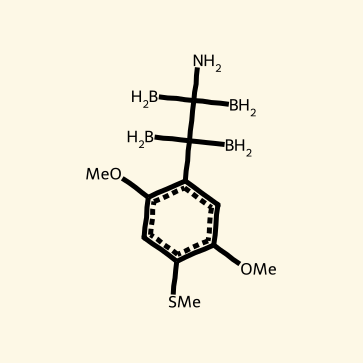 BC(B)(N)C(B)(B)c1cc(OC)c(SC)cc1OC